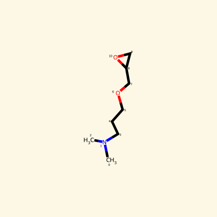 CN(C)CCCOCC1CO1